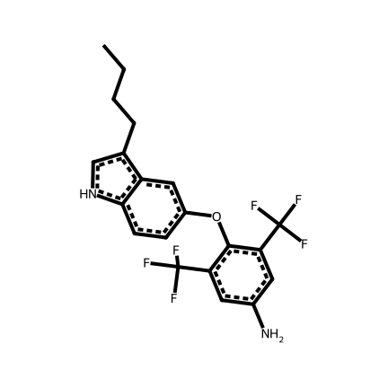 CCCCc1c[nH]c2ccc(Oc3c(C(F)(F)F)cc(N)cc3C(F)(F)F)cc12